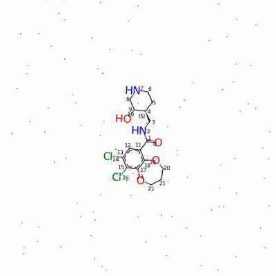 O=C(NC[C@@H]1CCNCC1O)c1cc(Cl)c(Cl)c2c1OCCCO2